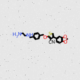 N#Cc1c(-c2ccc3c(c2)OCO3)csc1OCc1ccc(CNCCN)cc1